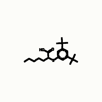 CCCCCC(Sc1cc(C(C)(C)C)cc(C(C)(C)C)c1)C(=O)O